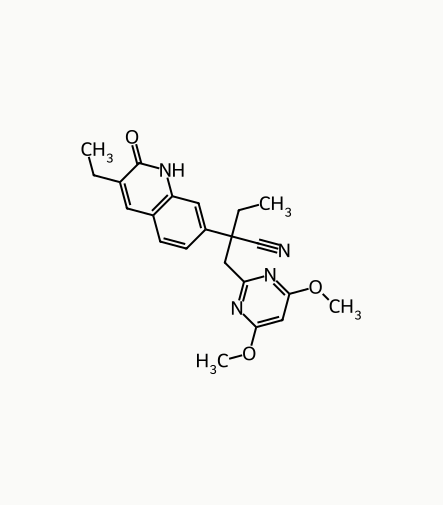 CCc1cc2ccc(C(C#N)(CC)Cc3nc(OC)cc(OC)n3)cc2[nH]c1=O